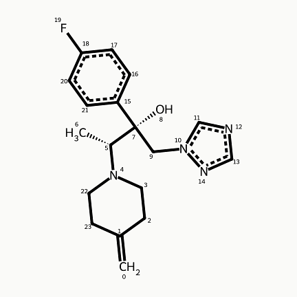 C=C1CCN([C@H](C)[C@](O)(Cn2cncn2)c2ccc(F)cc2)CC1